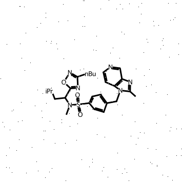 CCCCc1noc(C(CC(C)C)N(C)S(=O)(=O)c2ccc(Cn3c(C)nc4cnccc43)cc2)n1